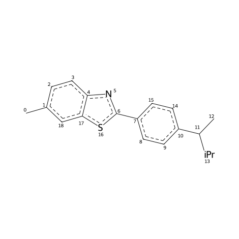 Cc1ccc2nc(-c3ccc(C(C)C(C)C)cc3)sc2c1